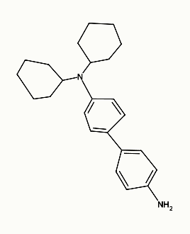 Nc1ccc(-c2ccc(N(C3CCCCC3)C3CCCCC3)cc2)cc1